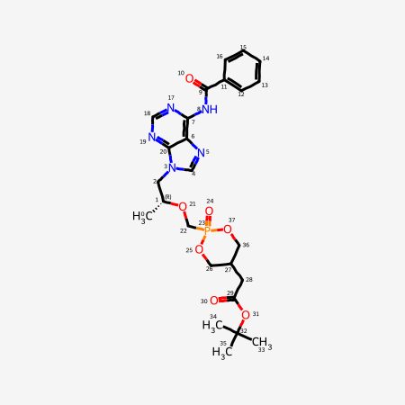 C[C@H](Cn1cnc2c(NC(=O)c3ccccc3)ncnc21)OCP1(=O)OCC(CC(=O)OC(C)(C)C)CO1